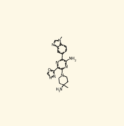 Cn1cnc2cc(-c3nc(-c4nnco4)c(N4CCC(C)(N)CC4)nc3N)ccc21